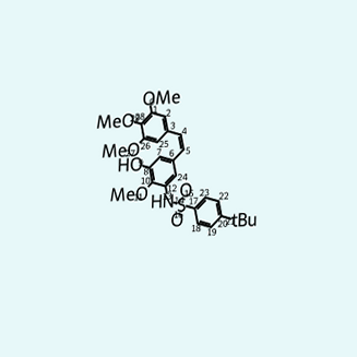 COc1cc(/C=C\c2cc(O)c(OC)c(NS(=O)(=O)c3ccc(C(C)(C)C)cc3)c2)cc(OC)c1OC